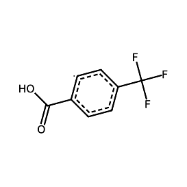 O=C(O)c1[c]cc(C(F)(F)F)cc1